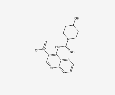 N=C(Nc1c([N+](=O)[O-])cnc2ccccc12)N1CCC(O)CC1